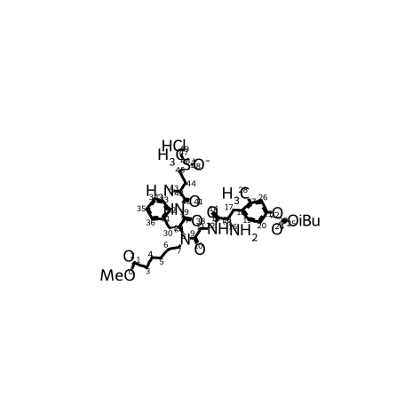 COC(=O)CCCCCN(C(=O)CNC(=O)[C@@H](N)Cc1ccc(OC(=O)OCC(C)C)cc1C)[C@@H](Cc1ccccc1)C(=O)NC(=O)C(N)CC[S+](C)[O-].Cl